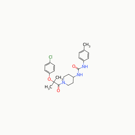 Cc1ccc(NC(=O)NC2CCN(C(=O)C(C)(C)Oc3ccc(Cl)cc3)CC2)cc1